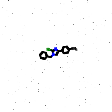 Cc1ccc(-c2cn(Cc3ccccc3)c(Br)n2)cc1